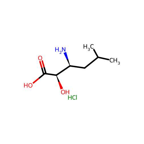 CC(C)C[C@H](N)[C@@H](O)C(=O)O.Cl